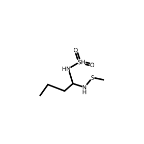 CCCC(NSC)N[SH](=O)=O